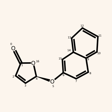 O=C1C=C[C@H](Oc2ccc3ccccc3c2)O1